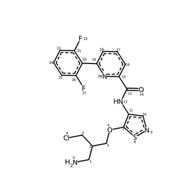 NCC(CCl)COc1sncc1NC(=O)c1cccc(-c2c(F)cccc2F)n1